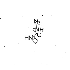 O=C(c1ccc(-c2cccnc2)[nH]1)c1c[nH]c2ccccc12